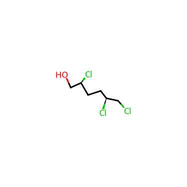 OC[C@@H](Cl)CC[C@H](Cl)CCl